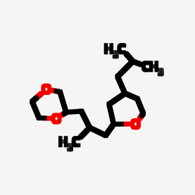 CC(C)CC1CCOC(CC(C)CC2COCCO2)C1